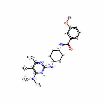 CCOc1cccc(C(=O)N[C@H]2CC[C@@H](Nc3nc(C)c(C)c(N(C)C)n3)CC2)c1